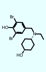 CCN(Cc1cc(Br)c(O)c(Br)c1)[C@H]1CC[C@H](O)CC1